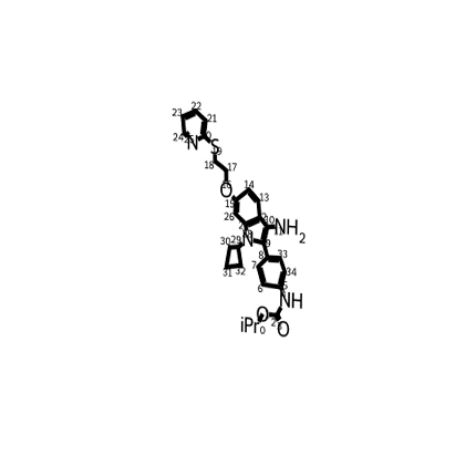 CC(C)OC(=O)Nc1ccc(-c2c(N)c3ccc(OCCSc4ccccn4)cc3n2C2CCC2)cc1